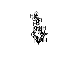 CNC(=O)COc1cc2cc(Nc3nc(N4CCC(O[C@H]5C[C@H](N6CCC(c7ccc8c(c7F)CN(C7CCC(=O)NC7=O)C8=O)CC6)C5)CC4)ncc3Cl)ccc2n(C2CCC2)c1=O